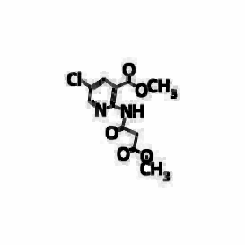 COC(=O)CC(=O)Nc1ncc(Cl)cc1C(=O)OC